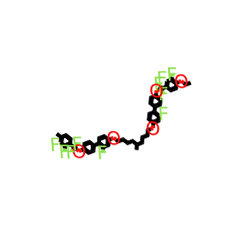 CCOc1ccc(C(F)(F)Oc2ccc(-c3ccc(OCCCCC(C)CCCCOc4ccc(-c5ccc(OC(F)(F)c6ccc(C)c(F)c6F)cc5)c(F)c4)cc3F)cc2)c(F)c1F